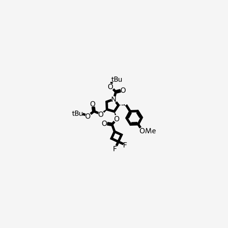 COc1ccc(C[C@@H]2[C@H](OC(=O)C3CC(F)(F)C3)[C@@H](OC(=O)OC(C)(C)C)CN2C(=O)OC(C)(C)C)cc1